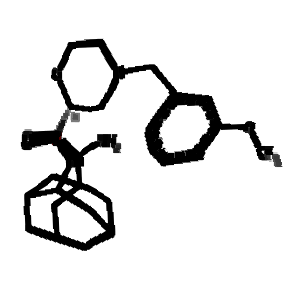 NC(=O)C12CC3CC(C1)C(NC(=O)[C@H]1CN(Cc4cccc(OC(F)(F)F)c4)CCO1)C(C3)C2